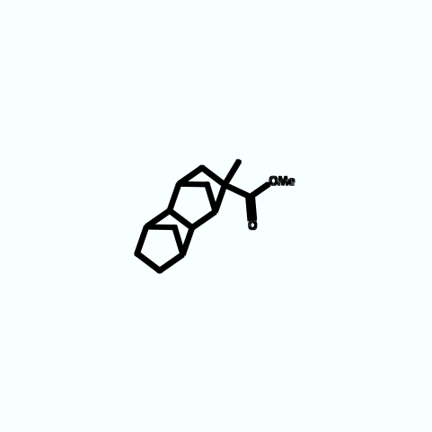 COC(=O)C1(C)CC2CC1C1C3CCC(C3)C21